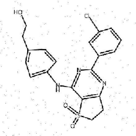 O=S1(=O)CCc2nc(-c3cccc(Cl)c3)nc(Nc3ccc(CCO)cc3)c21